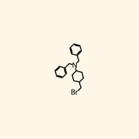 BrCC1CCC(N(Cc2ccccc2)Cc2ccccc2)CC1